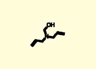 C=CCN(CO)CC=C